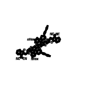 [C-]#[N+]/C(C#N)=C1/C(=C/c2cc3sc4c(c3s2)C(c2ccc(C#CC#CC)cc2)(c2ccc(CCCCCC)cc2)c2c-4sc3c4c(sc23)-c2sc3cc(/C=C5\C(=O)c6ccccc6C5=C(C#N)C#N)sc3c2C4(c2ccc(C#CC#CC)cc2)c2ccc(CCCCCC)cc2)C(=O)c2ccccc21